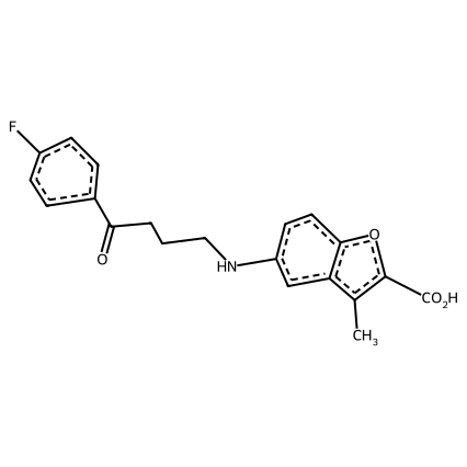 Cc1c(C(=O)O)oc2ccc(NCCCC(=O)c3ccc(F)cc3)cc12